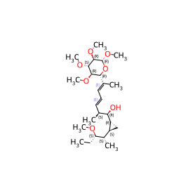 CC[C@H](OC)[C@@H](C)[C@@H]1C[C@H]1[C@H](O)[C@@H](C)/C=C/C=C(\C)[C@H]1O[C@@H](OC)[C@H](OC)[C@@H](OC)[C@@H]1OC